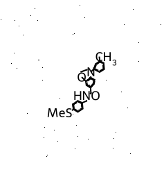 CSc1ccc(CNC(=O)c2ccc3c(c2)OCCN3c2cccc(C)c2)cc1